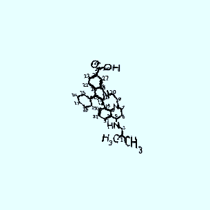 CC(C)CNC1CCN2CCn3c(c(C4CCCCC4)c4ccc(C(=O)O)cc43)-c3cccc1c32